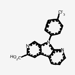 O=C(O)c1cc2c3cccnc3n(-c3ccc(C(F)(F)F)cc3)c2cn1